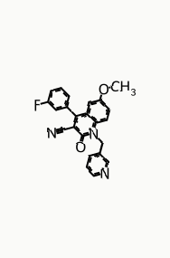 COc1ccc2c(c1)c(-c1cccc(F)c1)c(C#N)c(=O)n2Cc1cccnc1